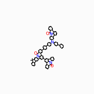 CC1(C)c2ccccc2-c2cc3c4cc(-c5cc6c7ccccc7c(=O)n7c8ccccc8c(c5)c67)cc5c6cc(-c7ccc(-c8ccc(N(c9ccc(-c%10ccccc%10)cc9)c9ccc%10c(c9)c9cccc%11c%12ccccc%12c(=O)n%10c%119)cc8)cc7)ccc6c(=O)n(c3cc21)c54